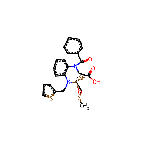 CSCC[C@@H](C(=O)O)N(C(=O)c1ccccc1)c1ccccc1N(Cc1cccs1)[S+]([O-])S